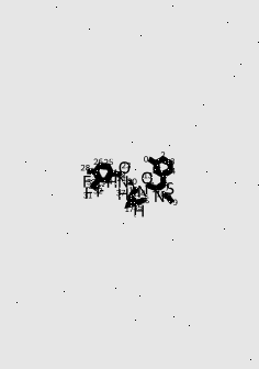 Cc1cccc(-c2sc(C)nc2C(=O)N2C[C@@H]3C[C@@H]3[C@H]2CNC(=O)c2ccc(C)c(C(F)(F)F)c2)c1